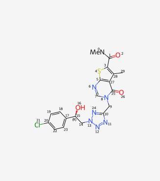 CNC(=O)c1sc2ncn(Cc3nnn(C[C@H](O)c4ccc(Cl)cc4)n3)c(=O)c2c1C